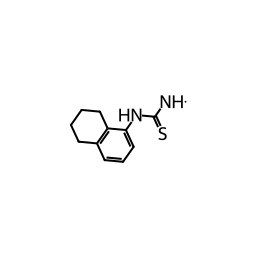 [NH]C(=S)Nc1cccc2c1CCCC2